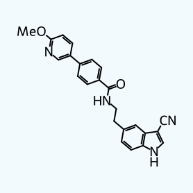 COc1ccc(-c2ccc(C(=O)NCCc3ccc4[nH]cc(C#N)c4c3)cc2)cn1